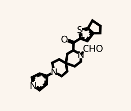 O=CN1CCC2(CCN(c3ccncc3)CC2)CC1C(=O)c1cc2c(s1)CCC2